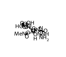 CNC(=O)OC[C@H]1[C@@H](O)[C@H](n2cnc3c(=O)[nH]c(N)nc32)O[C@@H]1COP(=O)(O)OP(=O)(O)O